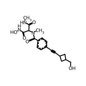 CNC(=O)C(C(=O)NO)N(C)C(=O)c1ccc(C#CC2CC(CO)C2)cc1